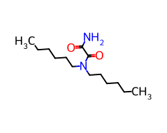 CCCCCCN(CCCCCC)C(=O)C(N)=O